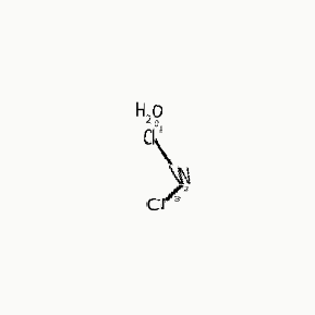 O.[Cl][W][Cl]